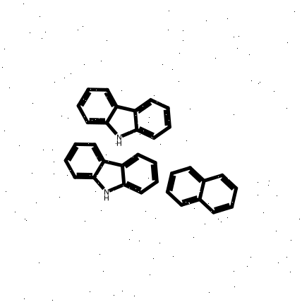 c1ccc2c(c1)[nH]c1ccccc12.c1ccc2c(c1)[nH]c1ccccc12.c1ccc2ccccc2c1